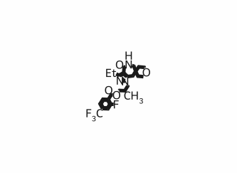 CCc1nn(C[C@@H](C)COC(=O)c2ccc(C(F)(F)F)cc2F)c2c1C(=O)NCC1(CCOCC1)C2